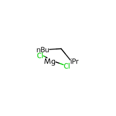 [CH2]CCCCC(C)C.[Cl][Mg][Cl]